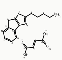 NCCCCc1nc2c(s1)Cc1ccccc1-2.O=C(O)C=CC(=O)O